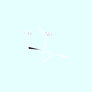 CN[C@@]1(CO)C[C@H]1C